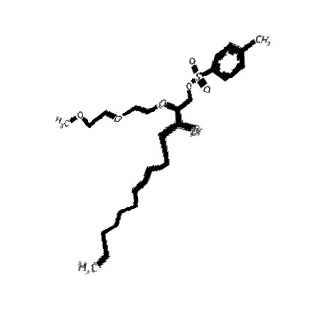 CCCCCCCCCCCC(Br)C(COS(=O)(=O)c1ccc(C)cc1)OCCOCCOC